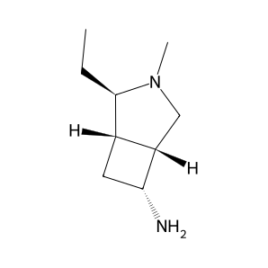 CC[C@@H]1[C@H]2C[C@@H](N)[C@H]2CN1C